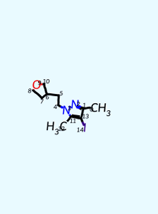 Cc1nn(CCC2CCOC2)c(C)c1I